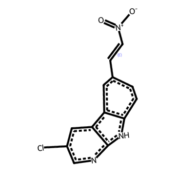 O=[N+]([O-])/C=C/c1ccc2[nH]c3ncc(Cl)cc3c2c1